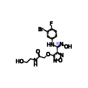 O=C(COc1nonc1/C(=N\O)Nc1ccc(F)c(Br)c1)NCCO